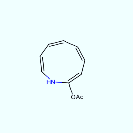 CC(=O)Oc1ccccccc[nH]1